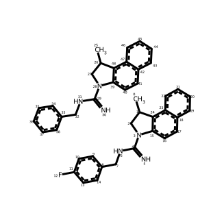 CC1CN(C(=N)NCc2ccc(F)cc2)c2ccc3ccccc3c21.CC1CN(C(=N)NCc2ccccc2)c2ccc3ccccc3c21